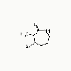 CC(=O)C1CCCNC(=O)C1C